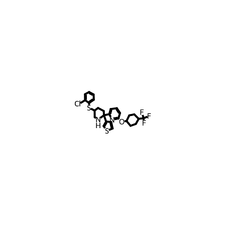 FC(F)(F)C1CCC(Oc2cccc(C3(c4ccsc4)CCC(Sc4ccccc4Cl)CN3)n2)CC1